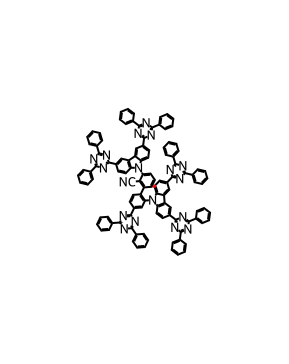 N#Cc1c(-c2ccc(-c3nc(-c4ccccc4)nc(-c4ccccc4)n3)cc2-n2c3ccc(-c4nc(-c5ccccc5)nc(-c5ccccc5)n4)cc3c3cc(-c4nc(-c5ccccc5)nc(-c5ccccc5)n4)ccc32)cccc1-n1c2ccc(-c3nc(-c4ccccc4)nc(-c4ccccc4)n3)cc2c2cc(-c3nc(-c4ccccc4)nc(-c4ccccc4)n3)ccc21